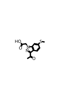 CSc1ccc2c(C(C)=O)nn(CC(=O)O)c2c1